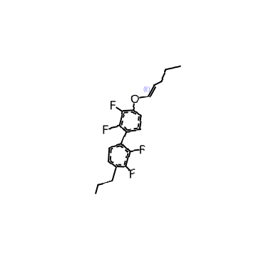 CCC/C=C/Oc1ccc(-c2ccc(CCC)c(F)c2F)c(F)c1F